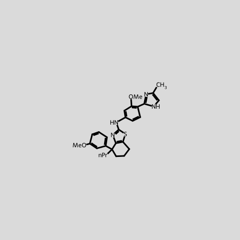 CCCC1(c2cccc(OC)c2)CCCc2sc(Nc3ccc(-c4nc(C)c[nH]4)c(OC)c3)nc21